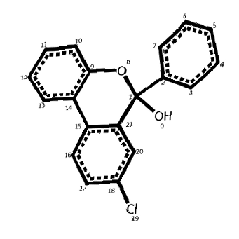 OC1(c2ccccc2)Oc2ccccc2-c2ccc(Cl)cc21